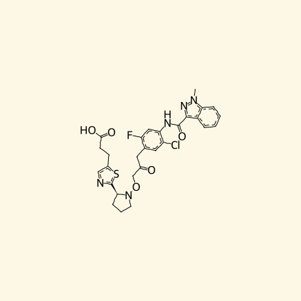 Cn1nc(C(=O)Nc2cc(F)c(CC(=O)CON3CCC[C@H]3c3ncc(CCC(=O)O)s3)cc2Cl)c2ccccc21